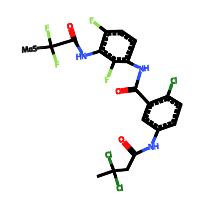 CSC(F)(F)C(=O)Nc1c(F)ccc(NC(=O)c2cc(NC(=O)CC(C)(Cl)Cl)ccc2Cl)c1F